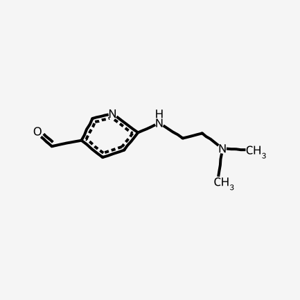 CN(C)CCNc1ccc(C=O)cn1